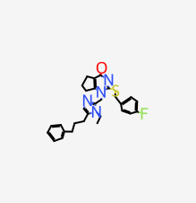 CCn1c(CCCc2ccccc2)cnc1Cn1c(SCc2ccc(F)cc2)nc(=O)c2c1CCC2